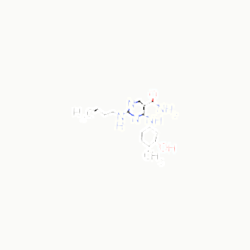 C=CCCNc1ncc(C(N)=O)c(N[C@@H]2CC[C@@H](C)[C@H](O)C2)n1